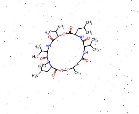 CC(C)CC1NC(=O)C(C(C)C)NC(=O)CC(C)COC(=O)C(CC(C)C)N(C)C(=O)C(C(C)C)NC(=O)C(C(C)C)OC1=O